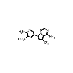 Nc1ncc(-c2cc(C(F)(F)F)c3c(N)ncnn23)cc1C(=O)O